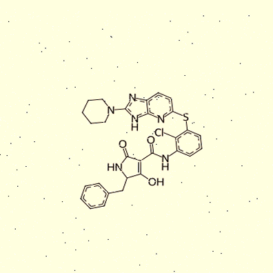 O=C(Nc1cccc(Sc2ccc3nc(N4CCCCC4)[nH]c3n2)c1Cl)C1=C(O)C(Cc2ccccc2)NC1=O